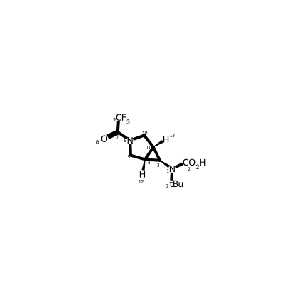 CC(C)(C)N(C(=O)O)[C@H]1[C@@H]2CN(C(=O)C(F)(F)F)C[C@@H]21